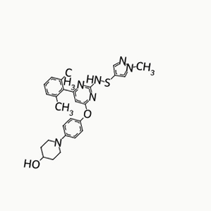 Cc1cccc(C)c1-c1cc(Oc2ccc(N3CCC(O)CC3)cc2)nc(NSc2cnn(C)c2)n1